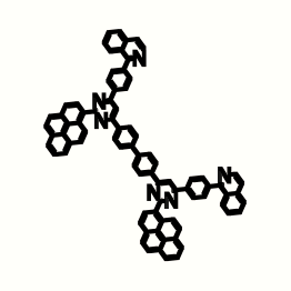 c1ccc2c(-c3ccc(-c4cc(-c5ccc(-c6ccc(-c7cc(-c8ccc(-c9nccc%10ccccc9%10)cc8)nc(-c8ccc9ccc%10cccc%11ccc8c9c%10%11)n7)cc6)cc5)nc(-c5ccc6ccc7cccc8ccc5c6c78)n4)cc3)nccc2c1